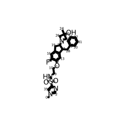 Cn1cnc(S(=O)(=O)NCCOc2cc3c(cc2F)CC(N2CC(C)(O)C2)C3Cc2ccccc2)c1